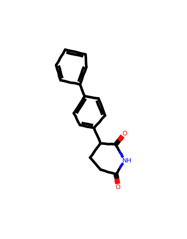 O=C1CCC(c2ccc(-c3ccccc3)cc2)C(=O)N1